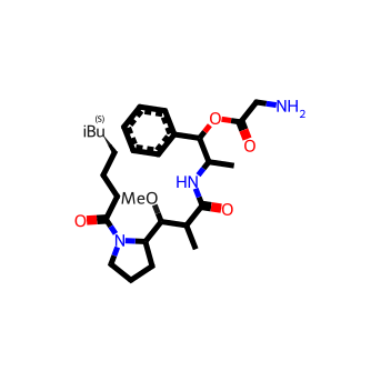 CC[C@H](C)CCCC(=O)N1CCCC1C(OC)C(C)C(=O)NC(C)C(OC(=O)CN)c1ccccc1